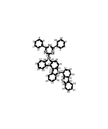 c1ccc(-c2nc(-c3ccccc3)nc(-n3c4ccccc4c4c5c6ccccc6n(-c6cccc7c6sc6ccccc67)c5ccc43)n2)cc1